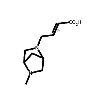 CN1CC2CC1CN2C/C=C/C(=O)O